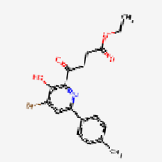 CCOC(=O)CCC(=O)c1nc(-c2ccc(C)cc2)cc(Br)c1O